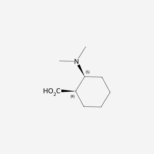 CN(C)[C@H]1CCCC[C@H]1C(=O)O